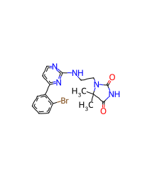 CC1(C)C(=O)NC(=O)N1CCNc1nccc(-c2ccccc2Br)n1